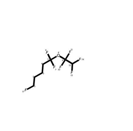 FCCCCC(F)(F)OC(F)(F)C(F)F